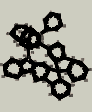 c1ccc(-n2c(-c3ccc4c(c3)C3(c5ccccc5-4)c4ccccc4-c4cc5c6ccccc6n(-c6ccccc6)c5cc43)nc3ccccc32)cc1